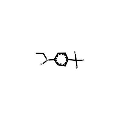 CCN(Br)c1ccc(C(F)(F)F)cc1